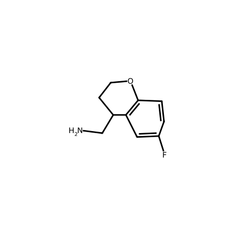 NCC1CCOc2ccc(F)cc21